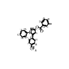 O=C(Oc1cc(-c2ccc(C(F)(F)F)cc2)n(-c2ccccc2)n1)c1ccccc1